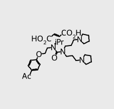 CC(=O)c1ccc(OCCN(C(=O)N(CCCN2CCCC2)CCCN2CCCC2)C(C)C)cc1.O=C(O)C=CC(=O)O